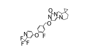 O=c1nc(OCc2ccc(Oc3ccnc(C(F)(F)F)c3)c(F)c2)cc2n1CC1N2CCCC12CC2